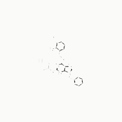 CCC(CO)Nc1nc(NCc2cccc(OC)c2N)c2ncn(Cc3ccccc3)c2n1